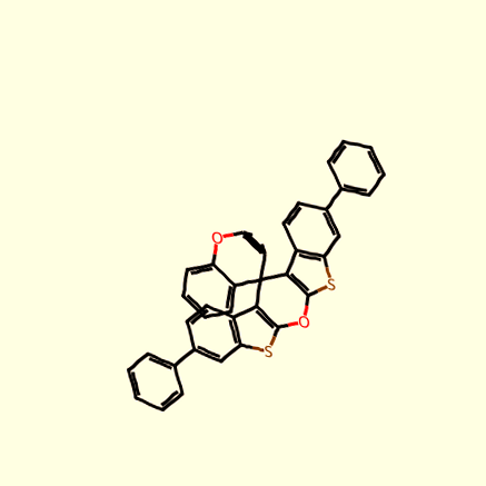 c1ccc(-c2ccc3c4c(sc3c2)Oc2sc3cc(-c5ccccc5)ccc3c2C42c3ccccc3Oc3ccccc32)cc1